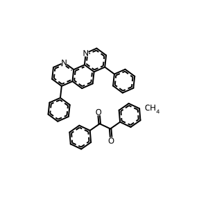 C.O=C(C(=O)c1ccccc1)c1ccccc1.c1ccc(-c2ccnc3c2ccc2c(-c4ccccc4)ccnc23)cc1